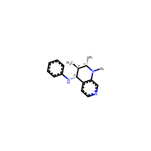 CCC[C@H]1[C@H](C)[C@@H](Nc2ccccc2)c2ccncc2N1C(C)=O